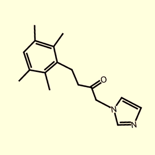 Cc1cc(C)c(C)c(CCC(=O)Cn2ccnc2)c1C